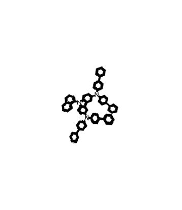 c1ccc(-c2ccc(N(c3ccc(-c4ccccc4)cc3)c3ccc4c(c3)c3cc(N(c5ccc(-c6ccccc6)cc5)c5ccc(-c6ccccc6)cc5)ccc3n4-c3cccc4ccccc34)cc2)cc1